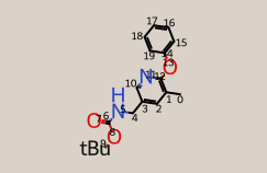 Cc1cc(CNC(=O)OC(C)(C)C)cnc1Oc1ccccc1